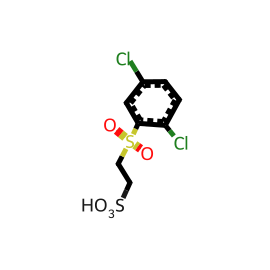 O=S(=O)(O)CCS(=O)(=O)c1cc(Cl)ccc1Cl